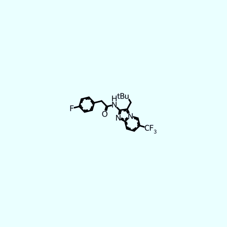 CC(C)(C)Cc1c(NC(=O)Cc2ccc(F)cc2)nc2ccc(C(F)(F)F)cn12